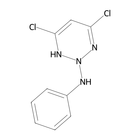 ClC1=CC(Cl)=NN(Nc2ccccc2)N1